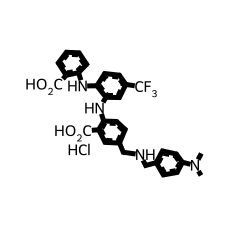 CN(C)c1ccc(CNCc2ccc(Nc3cc(C(F)(F)F)ccc3Nc3ccccc3C(=O)O)c(C(=O)O)c2)cc1.Cl